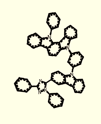 c1ccc(-c2nc(-c3ccc4c(c3)c3ccccc3n4-c3cccc(-n4c5ccccc5c5c4ccc4c6ccccc6n(-c6ccccc6)c45)c3)n(-c3ccccc3)n2)cc1